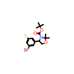 CC(C)(C)OC(=O)N1C(c2cc(F)cc(Br)c2)COC1(C)C